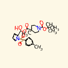 Cc1ccc(S(=O)(=O)n2cccc2C(O)OC(=O)C2(C)CCN(C(=O)OC(C)(C)C)CC2)cc1